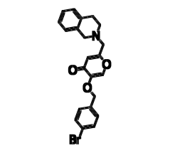 O=c1cc(CN2CCc3ccccc3C2)occ1OCc1ccc(Br)cc1